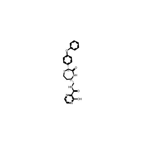 O=C(NC[C@@H]1CCS[C@H](c2ccc(Oc3ccccc3)cc2)C(=O)N1)c1nccnc1O